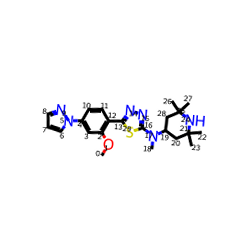 COc1cc(-n2cccn2)ccc1-c1nnc(N(C)C2CC(C)(C)NC(C)(C)C2)s1